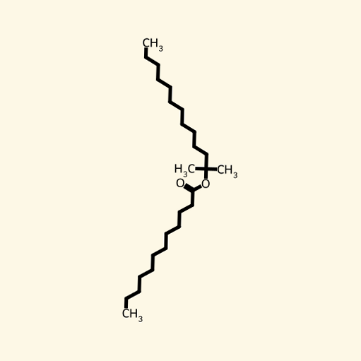 CCCCCCCCCCCC(=O)OC(C)(C)CCCCCCCCCCC